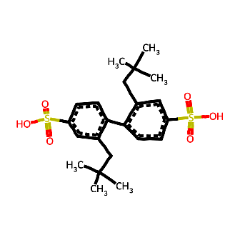 CC(C)(C)Cc1cc(S(=O)(=O)O)ccc1-c1ccc(S(=O)(=O)O)cc1CC(C)(C)C